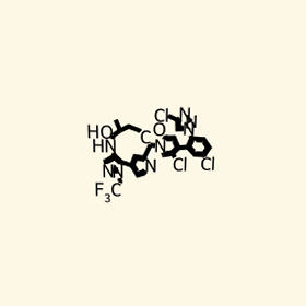 CC1CCCC(n2cc(Cl)c(-c3cc(Cl)ccc3-n3cc(Cl)nn3)cc2=O)c2cc(ccn2)-c2c(cnn2CC(F)(F)F)NC1O